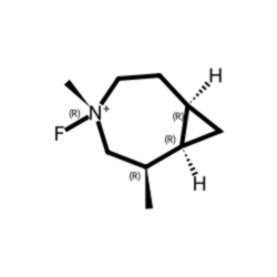 C[C@H]1C[N@+](C)(F)CC[C@H]2C[C@H]21